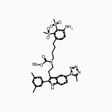 Cc1cc(C)cc(-c2[nH]c3ccc(-n4nnnc4C)cc3c2CCN(CCCCc2ccc(N)c(S(C)(=O)=O)c2S(C)(=O)=O)C(=O)OC(C)(C)C)c1